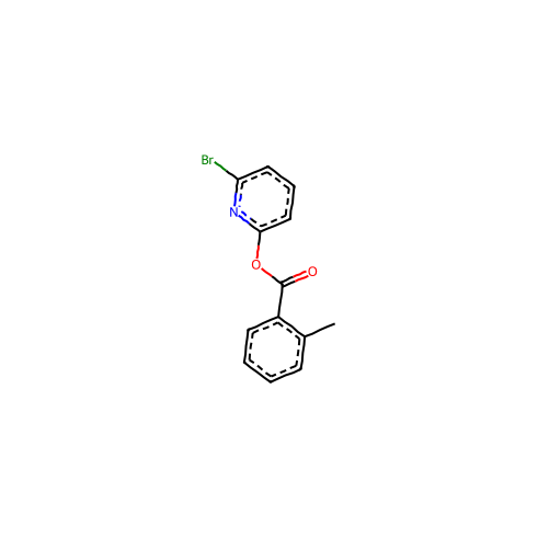 Cc1ccccc1C(=O)Oc1cccc(Br)n1